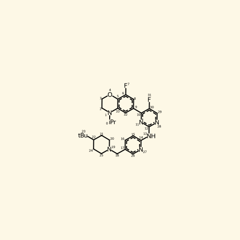 CC(C)N1CCOc2c(F)cc(-c3nc(Nc4ccc(CN5CCC(C(C)(C)C)CC5)cn4)ncc3F)cc21